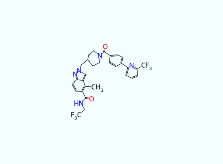 Cc1c(C(=O)NCC(F)(F)F)ccc2nn(CC3CCN(C(=O)c4ccc(-c5cccc(C(F)(F)F)n5)cc4)CC3)cc12